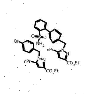 CCCc1cc(C(=O)OCC)nn1Cc1ccc(-c2ccccc2S(N)(=O)=O)cc1.CCCc1cc(C(=O)OCC)nn1Cc1ccc(Br)cc1